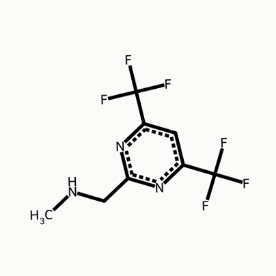 CNCc1nc(C(F)(F)F)cc(C(F)(F)F)n1